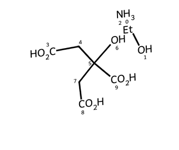 CCO.N.O=C(O)CC(O)(CC(=O)O)C(=O)O